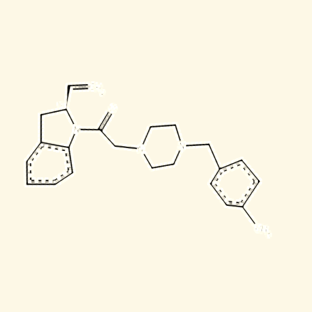 C=C[C@@H]1Cc2ccccc2N1C(=O)CN1CCN(Cc2ccc(C)cc2)CC1